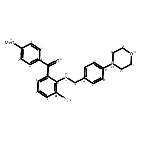 COc1ccc(C(=O)c2cccc(N)c2NCc2ccc(N3CCOCC3)cc2)cc1